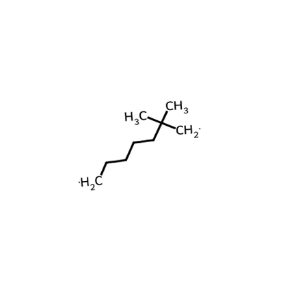 [CH2]CCCCC([CH2])(C)C